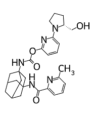 Cc1cccc(C(=O)NC23CC4CC(CC(NC(=O)Oc5cccc(N6CCC[C@@H]6CO)n5)(C4)C2)C3)n1